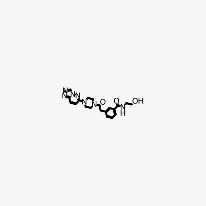 O=C(NCCO)c1cccc(CC(=O)N2CCN(c3ccc4nncn4n3)CC2)c1